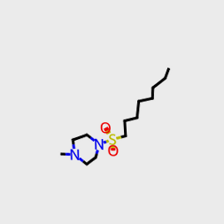 CCCCCCCCS(=O)(=O)N1CCN(C)CC1